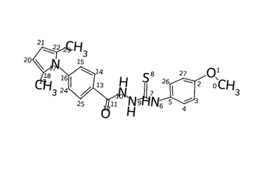 COc1ccc(NC(=S)NNC(=O)c2ccc(-n3c(C)ccc3C)cc2)cc1